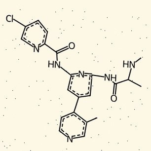 CNC(C)C(=O)Nc1cc(-c2ccncc2C)cc(NC(=O)c2ccc(Cl)cn2)n1